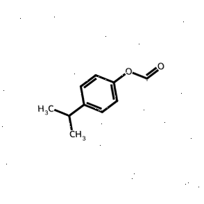 CC(C)c1ccc(O[C]=O)cc1